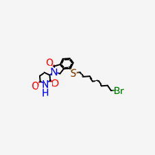 O=C1CCC(N2Cc3c(SCCCCCCCCBr)cccc3C2=O)C(=O)N1